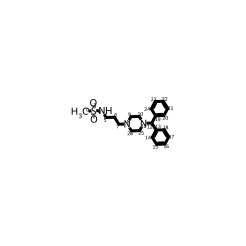 CS(=O)(=O)NCCCN1CCN(C(c2ccccc2)c2ccccc2)CC1